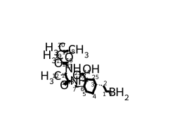 BCC[C@@H]1CC[C@@H](CNC(=O)[C@H](C)NC(=O)OC(C)(C)C)[C@@H](C(=O)O)C1